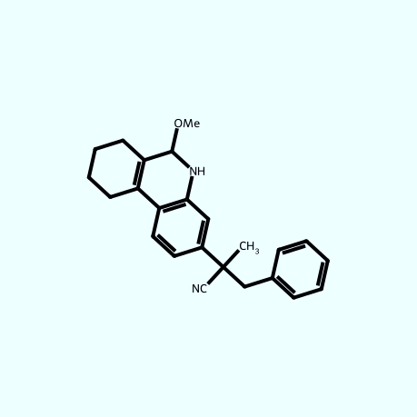 COC1Nc2cc(C(C)(C#N)Cc3ccccc3)ccc2C2=C1CCCC2